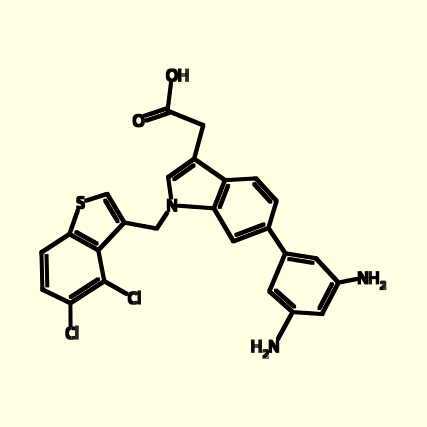 Nc1cc(N)cc(-c2ccc3c(CC(=O)O)cn(Cc4csc5ccc(Cl)c(Cl)c45)c3c2)c1